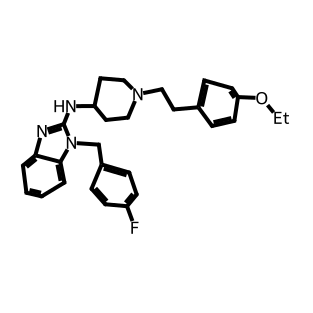 CCOc1ccc(CCN2CCC(Nc3nc4ccccc4n3Cc3ccc(F)cc3)CC2)cc1